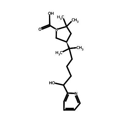 CC(C)(CCCC(O)c1ccccn1)[C@H]1CN(C(=O)O)C(C)(C)C1